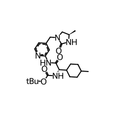 CC1CCC([C@H](NC(=O)OC(C)(C)C)C(=O)Nc2cc(CN3C[C@@H](C)NC3=O)ccn2)CC1